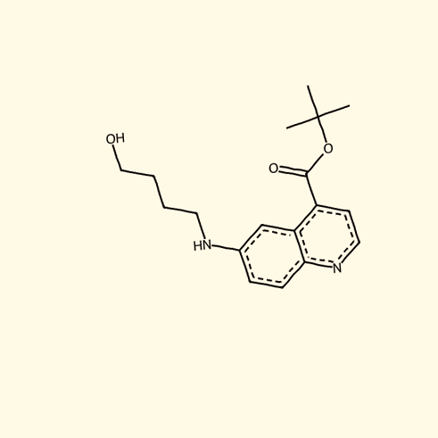 CC(C)(C)OC(=O)c1ccnc2ccc(NCCCCO)cc12